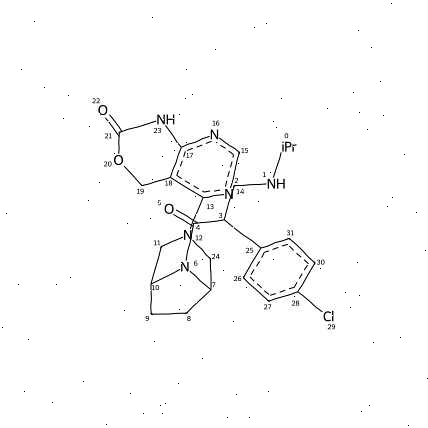 CC(C)NCC(C(=O)N1C2CCC1CN(c1ncnc3c1COC(=O)N3)C2)c1ccc(Cl)cc1